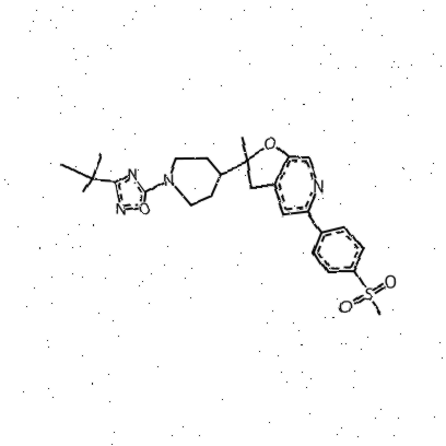 CC(C)(C)c1noc(N2CCC(C3(C)Cc4cc(-c5ccc(S(C)(=O)=O)cc5)ncc4O3)CC2)n1